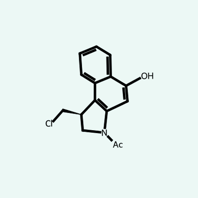 CC(=O)N1C[C@@H](CCl)c2c1cc(O)c1ccccc21